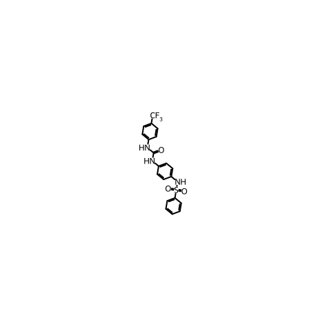 O=C(Nc1ccc(NS(=O)(=O)c2ccccc2)cc1)Nc1ccc(C(F)(F)F)cc1